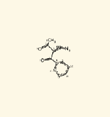 CC(=O)C(=[N+]=[N-])C(=O)c1ccccn1